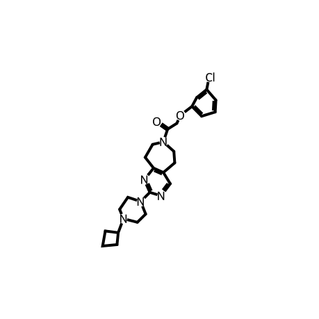 O=C(COc1cccc(Cl)c1)N1CCc2cnc(N3CCN(C4CCC4)CC3)nc2CC1